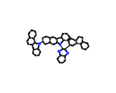 c1ccc2c(c1)ccc1ccc(-c3nc4ccccc4nc3-n3c4ccccc4c4cc5ccc(-n6c7ccccc7c7ccc8ccccc8c76)cc5cc43)cc12